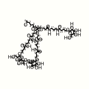 CC(=O)CCCC(=O)NC(COCCC(=O)NCCCNC(=O)CCCOC1OC(CO)C(O)C(O)C1O)(COCCC(=O)NCCCNC(=O)CCCOC1OC(CO)C(O)C(O)C1O)COCCC(=O)NCCCNC(=O)CCCOC(OC(CO)[C@H](C)O)[C@@H](O)CO